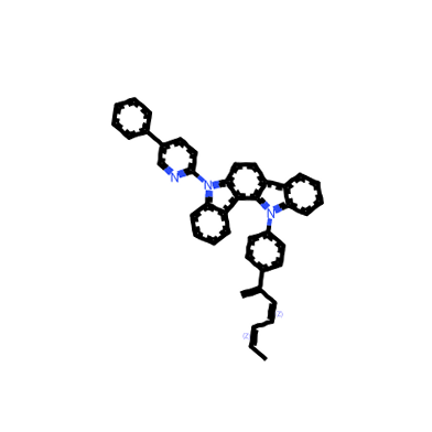 C=C(/C=C\C=C/C)c1ccc(-n2c3ccccc3c3ccc4c(c5ccccc5n4-c4ccc(-c5ccccc5)cn4)c32)cc1